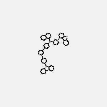 c1cc(-c2ccc(N(c3cccc(-c4cccc5oc6ccccc6c45)c3)c3cccc4ccccc34)cc2)cc(-c2ccc(-n3c4ccccc4c4ccccc43)cc2)c1